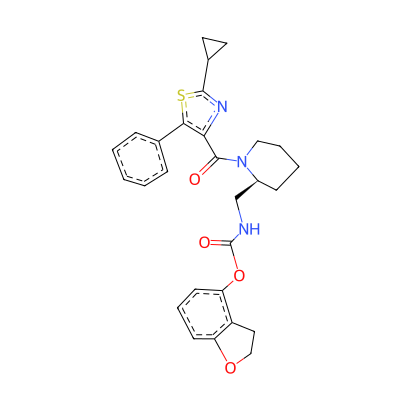 O=C(NC[C@@H]1CCCCN1C(=O)c1nc(C2CC2)sc1-c1ccccc1)Oc1cccc2c1CCO2